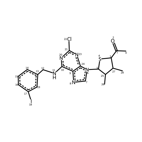 CC(=O)C1SC(n2cnc3c(NCc4cccc(I)c4)nc(Cl)nc32)C(C)C1C